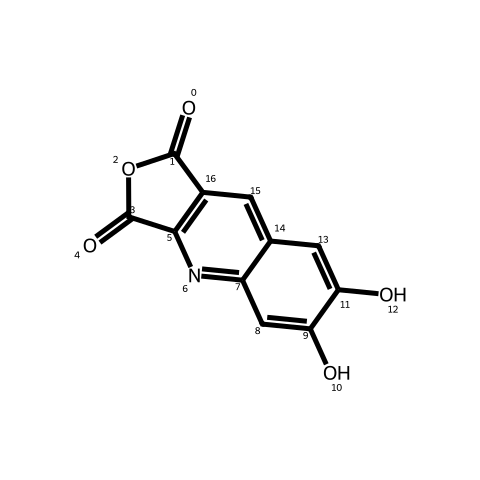 O=C1OC(=O)c2nc3cc(O)c(O)cc3cc21